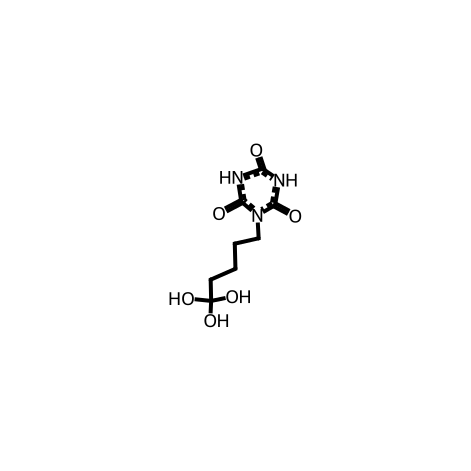 O=c1[nH]c(=O)n(CCCCC(O)(O)O)c(=O)[nH]1